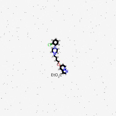 CCOC(=O)c1cnn2ccc(OCCCCN3CCN(c4ccccc4Cl)CC3)cc12